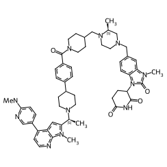 CNc1ccc(-c2ccnc3c2cc([C@H](C)N2CCC(c4ccc(C(=O)N5CCC(CN6CCN(Cc7ccc8c(c7)n(C)c(=O)n8C7CCC(=O)NC7=O)C[C@@H]6C)CC5)cc4)CC2)n3C)cn1